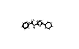 O=C(Nc1nnc(C2CCCCC2)o1)c1ccccc1